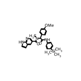 COc1ccc(C(C(=O)Nc2ccc([Si](C)(C)C)cc2)N(C)C(=O)c2cnc3[nH]ccc3c2)cc1